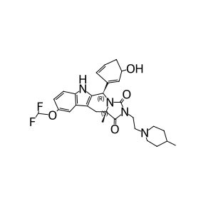 CC1CCN(CCN2C(=O)N3[C@H](C4=CC(O)CC=C4)c4[nH]c5ccc(OC(F)F)cc5c4C[C@@]3(C)C2=O)CC1